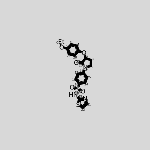 CCOc1ccc(OC2CCN(c3ccc(S(=O)(=O)Nc4nccs4)cc3)C2=O)cc1